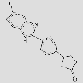 O=C1CCC(c2ccc(-c3nc4cc(Cl)ccc4[nH]3)cc2)C1